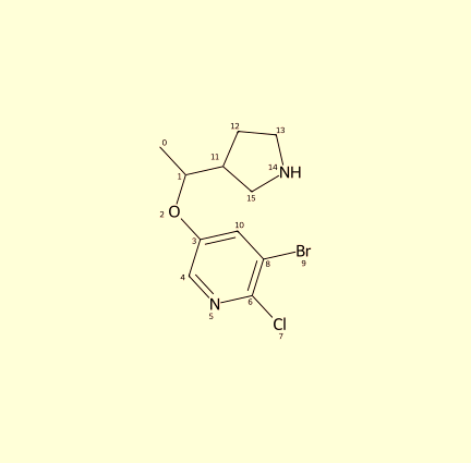 CC(Oc1cnc(Cl)c(Br)c1)C1CCNC1